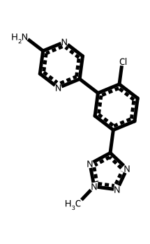 Cn1nnc(-c2ccc(Cl)c(-c3cnc(N)cn3)c2)n1